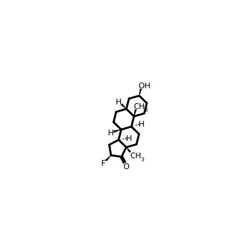 C[C@]12CC[C@H](O)C[C@H]1CC[C@@H]1[C@@H]2CC[C@]2(C)C(=O)[C@@H](F)C[C@@H]12